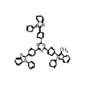 Cc1c(-c2ccc(-c3nc(-c4ccc(-c5nc6ccccc6n5-c5ccccc5)cc4)nc(-c4ccc(-c5nc6ccccc6n5-c5ccccc5)cc4)n3)cc2)n(-c2ccccc2)c2ccccc12